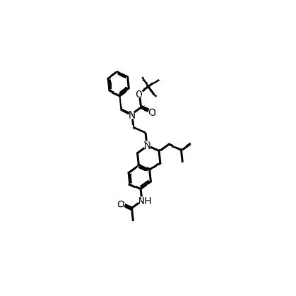 CC(=O)Nc1ccc2c(c1)CC(CC(C)C)N(CCN(Cc1ccccc1)C(=O)OC(C)(C)C)C2